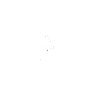 COc1nc(-c2cccc(-c3cccc(-c4ccc5c(n4)OCCN(C(=O)OC(C)(C)C)C5)c3Cl)c2Cl)ccc1CN(CC1CCC(=O)N1)C(=O)OC(C)(C)C